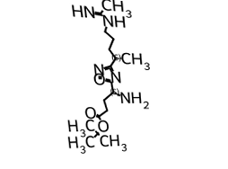 CC(=N)NCCC[C@H](C)c1noc([C@@H](N)CCC(=O)OC(C)(C)C)n1